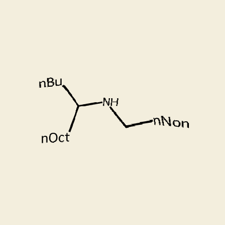 CCCCCCCCCCNC(CCCC)CCCCCCCC